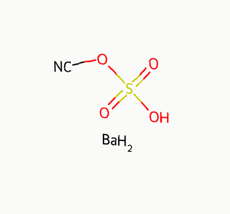 N#COS(=O)(=O)O.[BaH2]